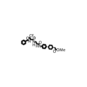 COC(=O)C[C@H]1CC[C@H](c2ccc(NC(=O)CCNC(=O)c3nc(-c4ccccc4)oc3C(F)(F)F)cc2)CC1